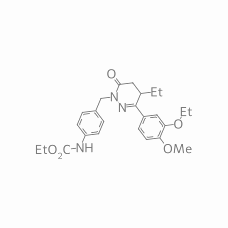 CCOC(=O)Nc1ccc(CN2N=C(c3ccc(OC)c(OCC)c3)C(CC)CC2=O)cc1